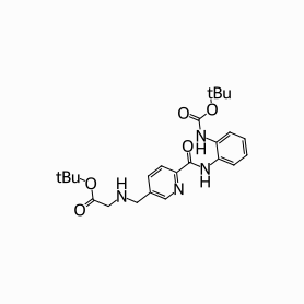 CC(C)(C)OC(=O)CNCc1ccc(C(=O)Nc2ccccc2NC(=O)OC(C)(C)C)nc1